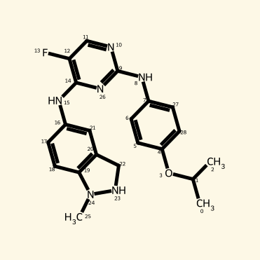 CC(C)Oc1ccc(Nc2ncc(F)c(Nc3ccc4c(c3)CNN4C)n2)cc1